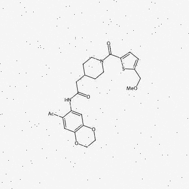 COCc1ccc(C(=O)N2CCC(CC(=O)Nc3cc4c(cc3C(C)=O)OCCO4)CC2)s1